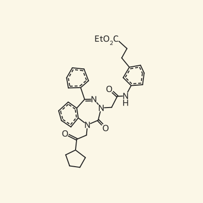 CCOC(=O)CCc1cccc(NC(=O)CN2N=C(c3ccccc3)c3ccccc3N(CC(=O)C3CCCC3)C2=O)c1